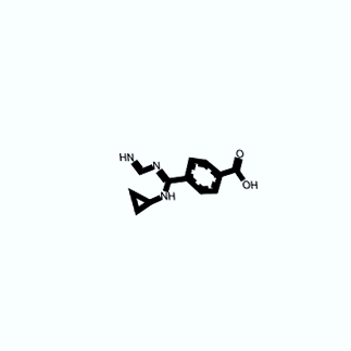 N=C/N=C(\NC1CC1)c1ccc(C(=O)O)cc1